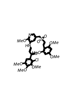 COc1cc(OC)c(/C=C/S(=O)(=O)Cc2cnc(OC)c(N/C=C/C(=O)c3cc(OC)c(OC)c(OC)c3Cl)c2)c(OC)c1